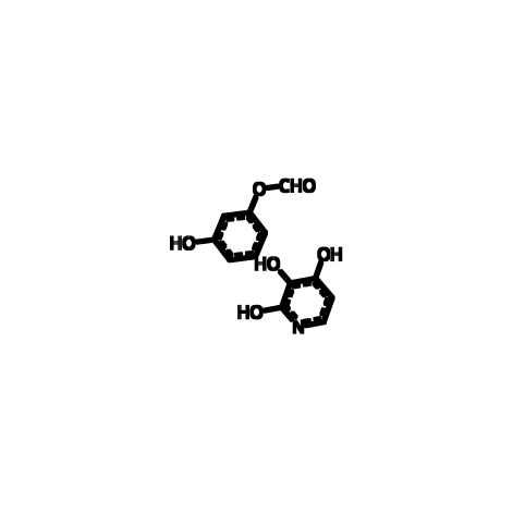 O=COc1cccc(O)c1.Oc1ccnc(O)c1O